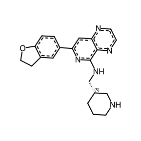 c1cnc2c(NC[C@H]3CCCNC3)nc(-c3ccc4c(c3)CCO4)cc2n1